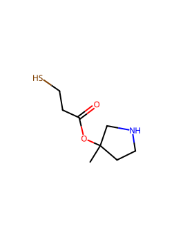 CC1(OC(=O)CCS)CCNC1